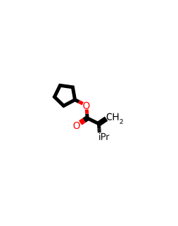 C=C(C(=O)OC1CCCC1)C(C)C